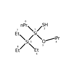 CCC[Si](S)(OC(C)C)[Si](CC)(CC)CC